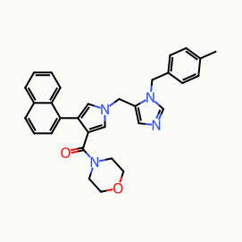 Cc1ccc(Cn2cncc2Cn2cc(C(=O)N3CCOCC3)c(-c3cccc4ccccc34)c2)cc1